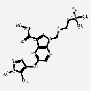 Cc1c(Nc2cnc3c(n2)c(C(=O)NC(C)(C)C)cn3COCC[Si](C)(C)C)cnn1C